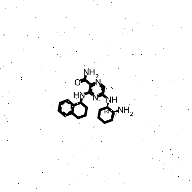 NC(=O)c1ncc(N[C@@H]2CCCC[C@@H]2N)nc1NC1CCCc2ccccc21